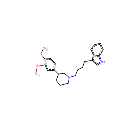 COc1ccc(C2CCCN(CCCCc3c[nH]c4ccccc34)C2)cc1OC